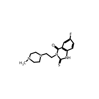 CN1CCN(CCn2c(=S)[nH]c3ccc(F)cc3c2=O)CC1